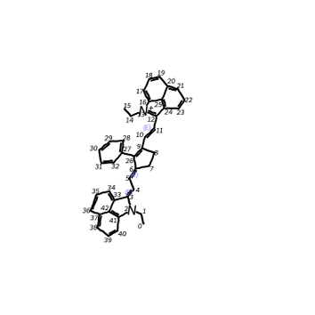 CCn1/c(=C/C=C2\CCC(/C=C/C3=[N+](CC)c4cccc5cccc3c45)=C2c2ccccc2)c2cccc3cccc1c32